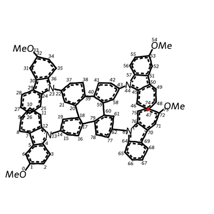 COc1ccc2c(c1)c1ccccc1n2-c1ccc2c(c1)-c1cc(-n3c4ccccc4c4cc(OC)ccc43)ccc1-c1ccc(-n3c4ccccc4c4cc(OC)ccc43)cc1-c1cc(-n3c4ccccc4c4cc(OC)ccc43)ccc1-2